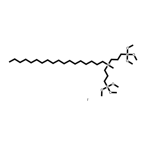 CCCCCCCCCCCCCCCCCC[N+](C)(CCC[Si](OC)(OC)OC)CCC[Si](OC)(OC)OC.[I-]